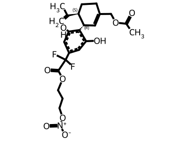 C=C(C)[C@H]1CCC(COC(C)=O)=C[C@@H]1c1c(O)cc(C(F)(F)C(=O)OCCCO[N+](=O)[O-])cc1O